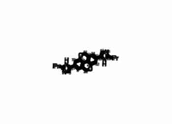 CC(C)c1ncc(-c2cc3c4c(c2)OCc2cc(-c5cnc(C(C)C)[nH]5)cc(c2-4)OC3)[nH]1